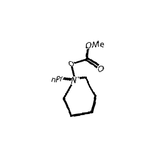 CCC[N+]1(OC(=O)OC)CCCCC1